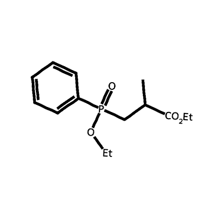 CCOC(=O)C(C)CP(=O)(OCC)c1ccccc1